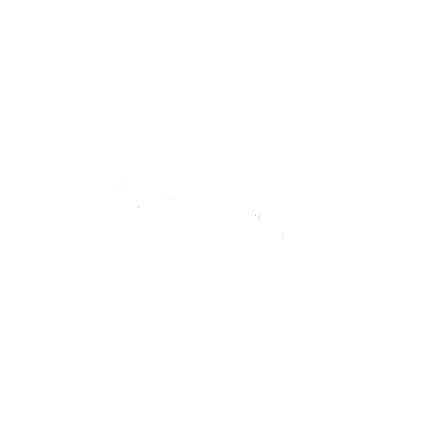 C#CCN(CC)c1ccc2c(C)cc(=O)oc2c1